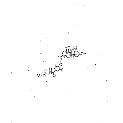 CC[C@H]1[C@@H](O)[C@@H]2[C@H](CC[C@]3(C)[C@@H]([C@H](C)CCOc4ncc(C(=O)NCC(=O)OC)cc4Cl)CC[C@@H]23)[C@@]2(C)CC[C@@H](O)C[C@@H]12